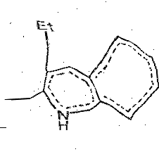 CCc1c(C)[nH]c2ccccc12